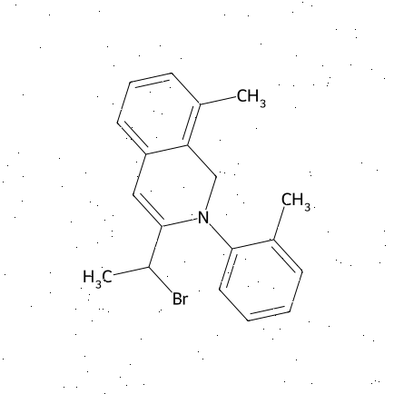 Cc1ccccc1N1Cc2c(C)cccc2C=C1C(C)Br